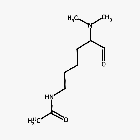 CN(C)C(C=O)CCCCNC([13CH3])=O